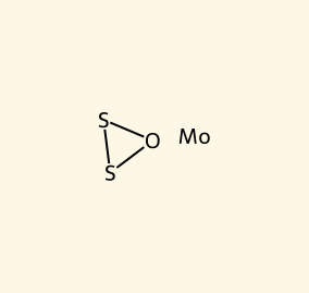 [Mo].o1ss1